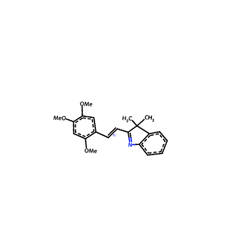 COc1cc(OC)c(OC)cc1/C=C/C1=Nc2ccccc2C1(C)C